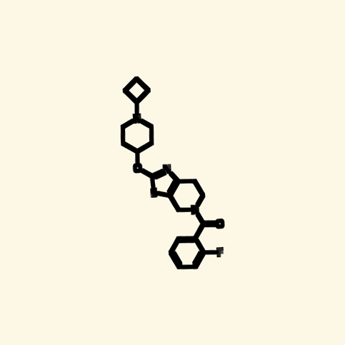 O=C(c1ccccc1F)N1CCc2nc(OC3CCN(C4CCC4)CC3)sc2C1